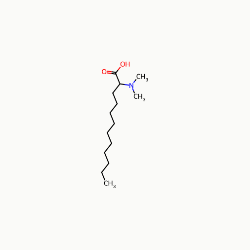 CCCCCCCCCCC(C(=O)O)N(C)C